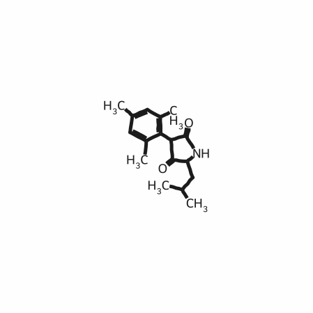 Cc1cc(C)c(C2C(=O)NC(CC(C)C)C2=O)c(C)c1